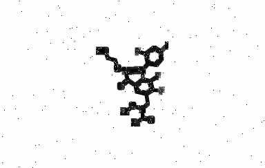 CCON(Cc1cc(C(=O)NOCCO)c(Nc2ccc(I)cc2F)c(F)c1F)C(=O)CC